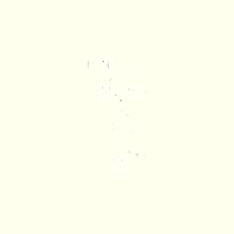 COC(=O)c1ccc(NC(=O)C2(C(N)=O)CC2)cc1